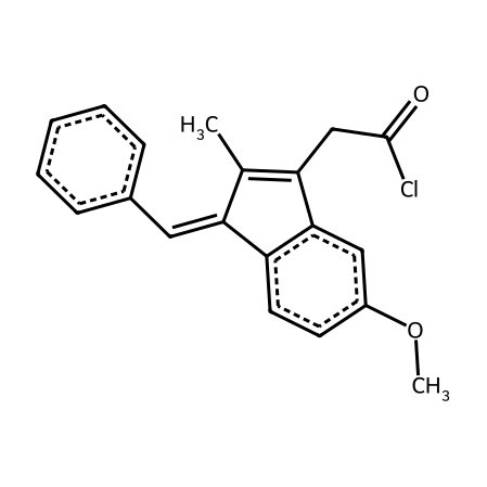 COc1ccc2c(c1)C(CC(=O)Cl)=C(C)/C2=C\c1ccccc1